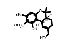 CCCc1cc2c(c(O)c1C(=O)O)[C@@H]1C=C(CO)CC[C@H]1C(C)(C)O2